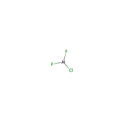 [F][Al]([F])[Cl]